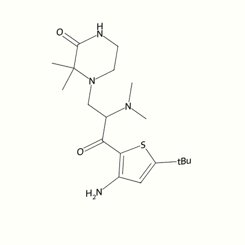 CN(C)C(CN1CCNC(=O)C1(C)C)C(=O)c1sc(C(C)(C)C)cc1N